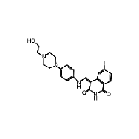 O=C1NC(=O)c2ccc(I)cc2/C1=C/Nc1ccc(N2CCN(CCO)CC2)cc1